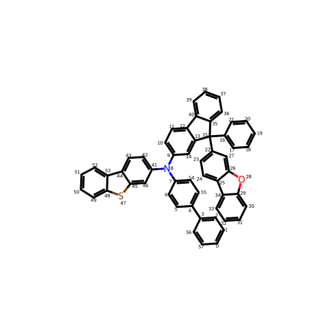 c1ccc(-c2ccc(N(c3ccc4c(c3)C(c3ccccc3)(c3ccc5c(c3)oc3ccccc35)c3ccccc3-4)c3ccc4c(c3)sc3ccccc34)cc2)cc1